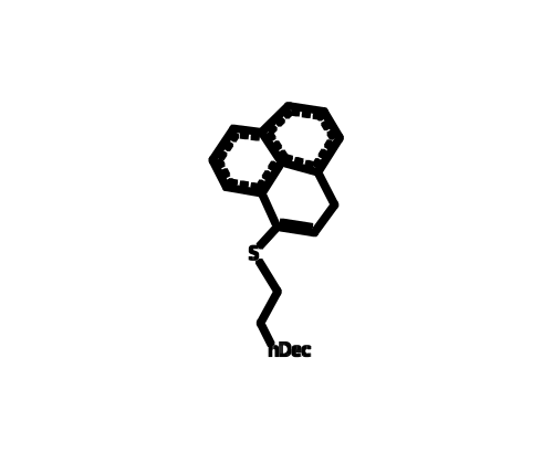 CCCCCCCCCCCCSC1=CCc2cccc3cccc1c23